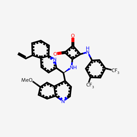 C=Cc1cccc2nc([C@@H](Nc3c(Nc4cc(C(F)(F)F)cc(C(F)(F)F)c4)c(=O)c3=O)c3ccnc4ccc(OC)cc34)ccc12